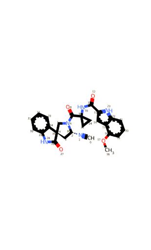 C#[N+][C@@H]1C[C@@]2(CN1C(=O)C1(NC(=O)c3cc4c(OC)cccc4[nH]3)CC1)C(=O)Nc1ccccc12